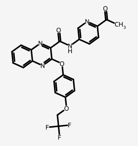 CC(=O)c1ccc(NC(=O)c2nc3ccccc3nc2Oc2ccc(OCC(F)(F)F)cc2)cn1